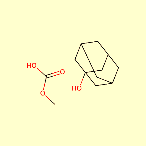 COC(=O)O.OC12CC3CC(CC(C3)C1)C2